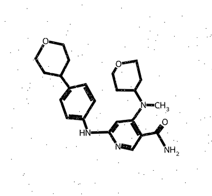 CN(c1cc(Nc2ccc(C3CCOCC3)cc2)ncc1C(N)=O)C1CCOCC1